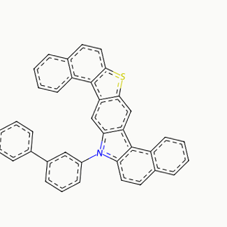 c1ccc(-c2cccc(-n3c4cc5c(cc4c4c6ccccc6ccc43)sc3ccc4ccccc4c35)c2)cc1